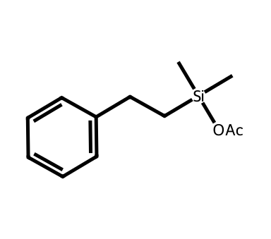 [CH2]C(=O)O[Si](C)(C)CCc1ccccc1